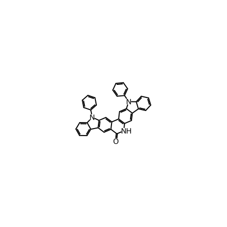 O=c1[nH]c2cc3c4ccccc4n(-c4ccccc4)c3cc2c2cc3c(cc12)c1ccccc1n3-c1ccccc1